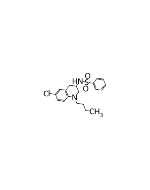 CCCCN1CC(NS(=O)(=O)c2ccccc2)Cc2cc(Cl)ccc21